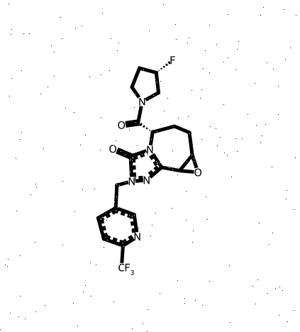 O=C([C@@H]1CCC2OC2c2nn(Cc3ccc(C(F)(F)F)nc3)c(=O)n21)N1CC[C@H](F)C1